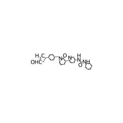 C[C@H](CC=O)c1ccc(Cn2cccc(-c3ccc(NC(=O)Nc4ccccc4)cn3)c2=O)cc1